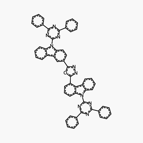 c1ccc(-c2nc(-c3ccccc3)nc(-n3c4ccccc4c4cc(-c5nnc(-c6cccc7c6c6ccccc6n7-c6nc(-c7ccccc7)nc(-c7ccccc7)n6)o5)ccc43)n2)cc1